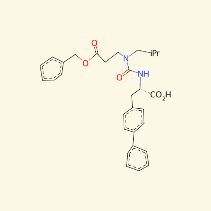 CC(C)CN(CCC(=O)OCc1ccccc1)C(=O)N[C@@H](Cc1ccc(-c2ccccc2)cc1)C(=O)O